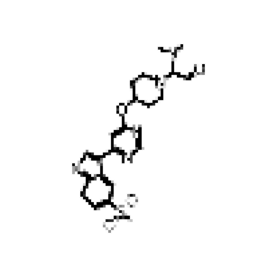 CN(C)C(C=O)N1CCC(Oc2cc(C3=CN=C4CC=C(S(C)(=O)=O)C=C34)ncn2)CC1